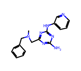 CN(Cc1ccccc1)Cc1nc(N)nc(Nc2cccnc2)n1